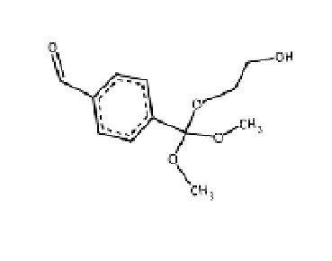 COC(OC)(OCCO)c1ccc(C=O)cc1